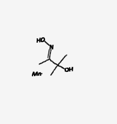 C/C(=N\O)C(C)(C)O.[Mn]